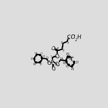 O=C(O)CCCC(=O)OCP(=O)(OCc1ccccc1)OCc1ccccc1